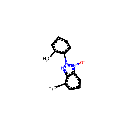 Cc1ccccc1-n1nc2c(C)cccc2[n+]1[O-]